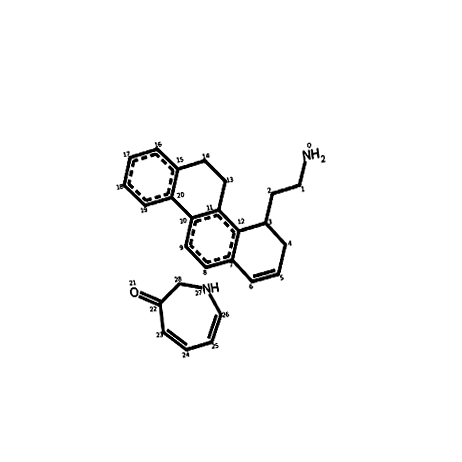 NCCC1CC=Cc2ccc3c(c21)CCc1ccccc1-3.O=C1C=CC=CNC1